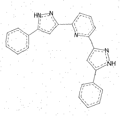 c1ccc(-c2cc(-c3cccc(-c4cc(-c5ccccc5)[nH]n4)n3)n[nH]2)cc1